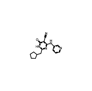 N#Cc1c(Nc2cccnc2)nc(CC2CCCC2)[nH]c1=O